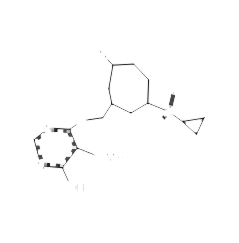 COc1c(O)ncnc1OCC1CC(N)CCC(S(=O)(=O)C2CC2)C1